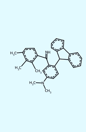 Cc1ccc(C(=N)c2cc(N(C)C)ccc2C2c3ccccc3-c3ccccc32)c(C)c1C